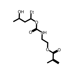 C=C(C)C(=O)OCCNC(=O)OC(CC)CC(C)O